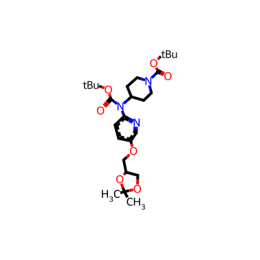 CC(C)(C)OC(=O)N1CCC(N(C(=O)OC(C)(C)C)c2ccc(OCC3COC(C)(C)O3)cn2)CC1